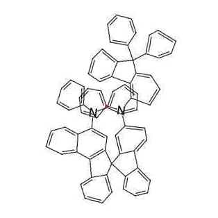 c1ccc(N(c2ccc3c(c2)C2(c4ccccc4-3)c3ccccc3-c3c2cc(N(c2ccccc2)c2ccccc2)c2ccccc32)c2cccc3c2-c2ccccc2C3(c2ccccc2)c2ccccc2)cc1